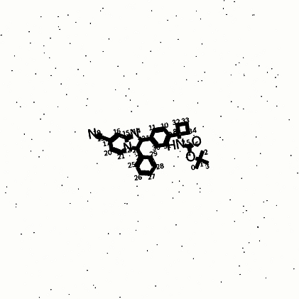 CC(C)(C)OC(=O)NC1(c2ccc(C3N=C4C=C(C#N)C=CN4C3c3ccccc3)cc2)CCC1